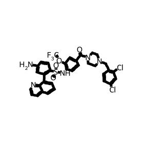 Nc1ccc(S(=O)(=O)Nc2ccc(C(=O)N3CCN(Cc4ccc(Cl)cc4Cl)CC3)cc2OC(F)(F)F)c(-c2cccc3cccnc23)c1